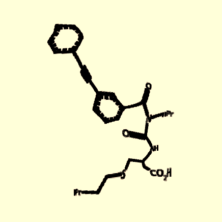 CCCN(C(=O)NC(CSCCC(C)C)C(=O)O)C(=O)c1cccc(C#Cc2ccccc2)c1